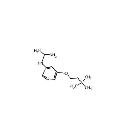 C[N+](C)(C)CCOc1cccc(NC(N)N)c1